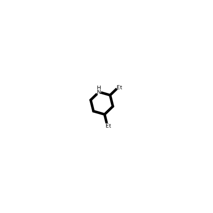 CCC1CCNC(CC)C1